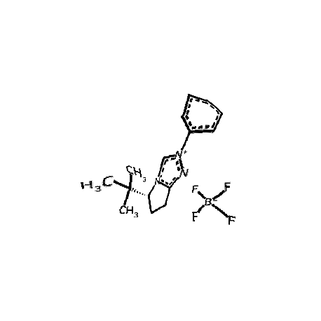 CC(C)(C)[C@H]1CCc2n[n+](-c3ccccc3)cn21.F[B-](F)(F)F